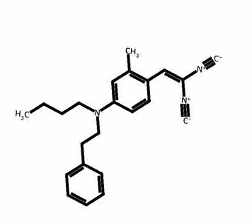 [C-]#[N+]C(=Cc1ccc(N(CCCC)CCc2ccccc2)cc1C)[N+]#[C-]